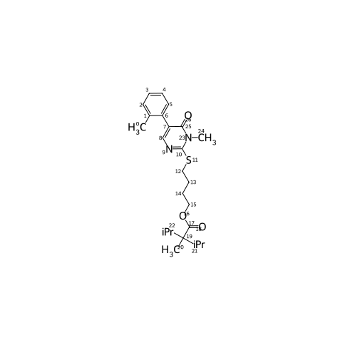 Cc1ccccc1-c1cnc(SCCCCOC(=O)C(C)(C(C)C)C(C)C)n(C)c1=O